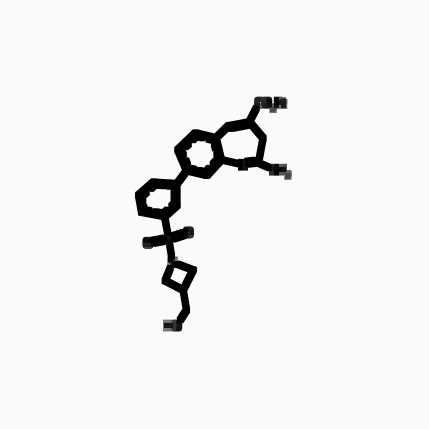 CCOC(=O)C1=Cc2ccc(-c3cccc(S(=O)(=O)N4CC(CO)C4)c3)cc2N=C(N)C1